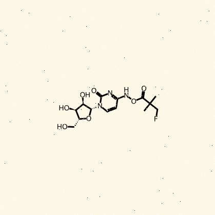 CC(C)(CF)C(=O)ONc1ccn([C@@H]2O[C@H](CO)[C@@H](O)[C@H]2O)c(=O)n1